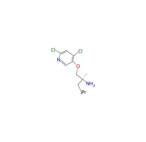 CC(C)C[C@](C)(N)COc1cnc(Cl)cc1Cl